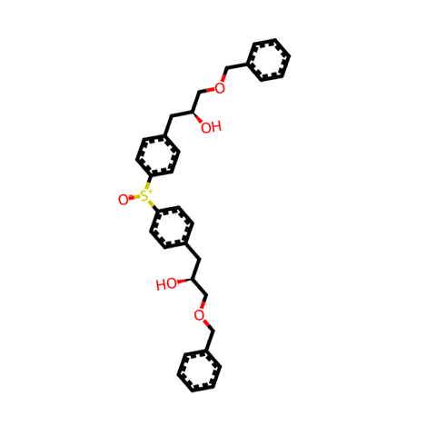 [O-][S+](c1ccc(C[C@H](O)COCc2ccccc2)cc1)c1ccc(C[C@H](O)COCc2ccccc2)cc1